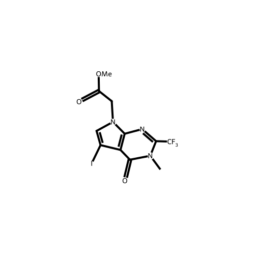 COC(=O)Cn1cc(I)c2c(=O)n(C)c(C(F)(F)F)nc21